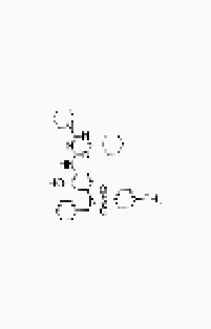 Cc1ccc(S(=O)(=O)N(Cc2ccccc2)c2ccc(Nc3nc(C4CCCCC4)nc(N4CCCCC4)n3)c(O)c2)cc1